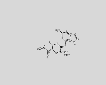 CC1CN(Cc2cc(N)cc3ccoc23)CCN1C(=O)OC(C)(C)C.Cl.Cl